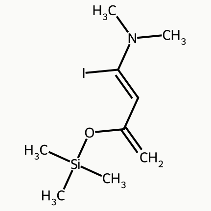 C=C(C=C(I)N(C)C)O[Si](C)(C)C